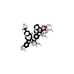 CC[C@]12C=CCN3CC[C@@]4(c5cc([C@@]6(C(=O)OC)C[C@H]7CC(C(C)(F)F)CN(Cc8c6[nH]c6ccc(OC)cc86)C7)c(OC)cc5N(C)[C@H]4[C@@](O)(C(=O)OC)[C@@H]1OC(C)=O)[C@@H]32